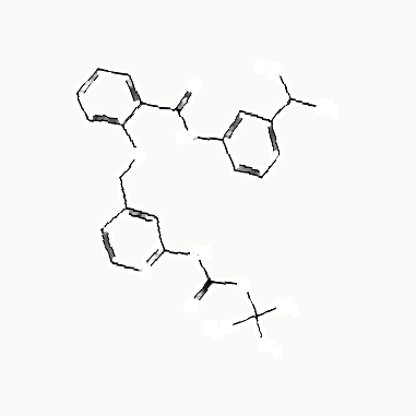 CC(C)c1cccc(NC(=O)c2ccccc2SCc2ccnc(NC(=O)OC(C)(C)C)c2)c1